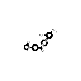 Cc1ccc(N2CCN(C(=O)C3C=CC(N4CCCC4=O)=CC3)CC2)c(C)c1